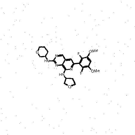 COc1cc(OC)c(F)c(-c2cc3cnc(NC4CCCOC4)nc3c(NC3CCOC3)n2)c1F